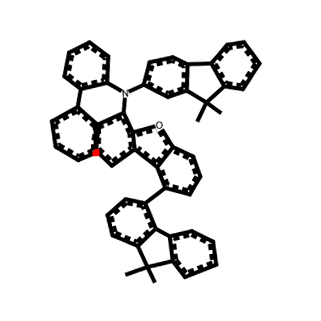 CC1(C)c2ccccc2-c2ccc(N(c3ccccc3-c3ccccc3)c3cccc4c3oc3cccc(-c5cccc6c5-c5ccccc5C6(C)C)c34)cc21